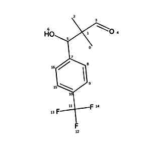 CC(C)(C=O)C(O)c1ccc(C(F)(F)F)cc1